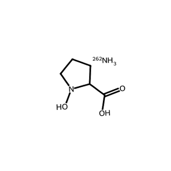 O=C(O)C1CCCN1O.[262NH3]